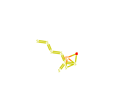 S=S=S=S=S(=S)=S123S[PH]1(S2)S3